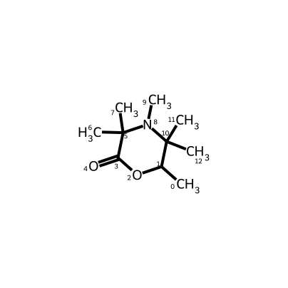 CC1OC(=O)C(C)(C)N(C)C1(C)C